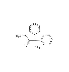 C=CC(C(=O)O[SiH3])(c1ccccc1)c1ccccc1